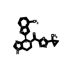 CC1(c2nnc(C(=O)N3CCc4[nH]cnc4[C@H]3c3cc4c(C(F)(F)F)cccn4n3)o2)CC1